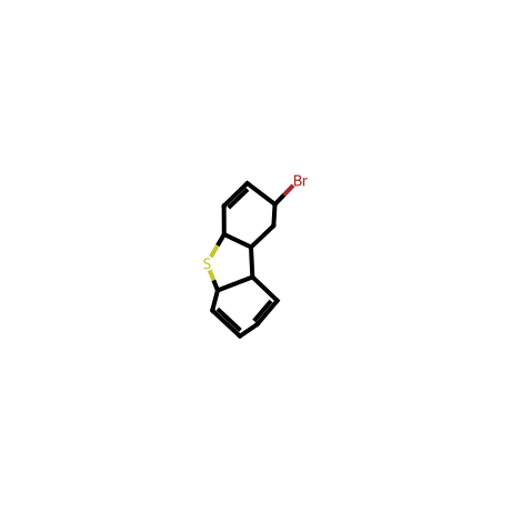 BrC1C=CC2SC3C=CC=CC3C2C1